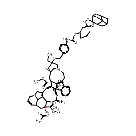 C=C1/C=C(OC)\C([C@@]2(C(=O)OC)C[C@@H]3C[N@](CCc4c2[nH]c2ccccc42)C[C@@](CC)(OCc2ccc(NC(=O)OC4CCC[C@]5(C4)OOC4(O5)C5CC6CC(C5)CC4C6)cc2)C3)=C/C2=C3C4C(C=CCN4C2)[C@@H](OC(C)=O)[C@](O)(C(=O)OC)[C@@H]3N1C